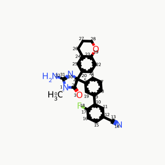 CN1C(=O)C(c2cccc(-c3cc(C#N)ccc3F)c2)(c2ccc3c(c2)CCCO3)N=C1N